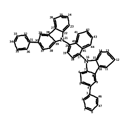 c1ccc(-c2ccc3c(c2)c2ccccc2n3-c2ccc(-n3c4ccccc4c4cc(-c5ccccc5)ccc43)c3ccccc23)cc1